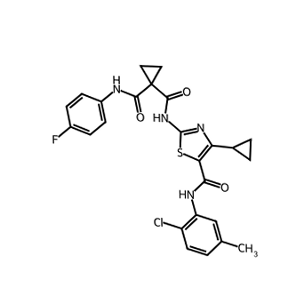 Cc1ccc(Cl)c(NC(=O)c2sc(NC(=O)C3(C(=O)Nc4ccc(F)cc4)CC3)nc2C2CC2)c1